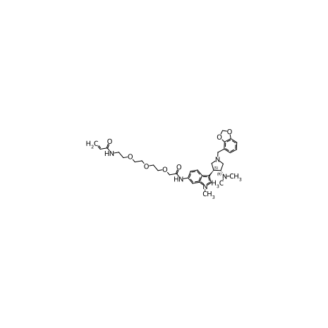 C=CC(=O)NCCOCCOCCOCC(=O)Nc1ccc2c([C@H]3CN(Cc4cccc5c4OCO5)C[C@@H]3N(C)C)cn(C)c2c1